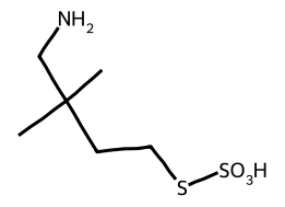 CC(C)(CN)CCSS(=O)(=O)O